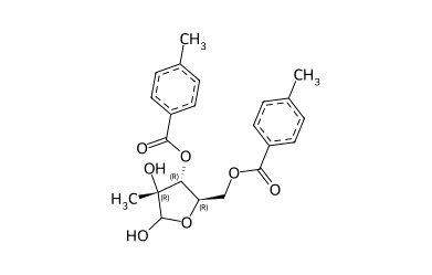 Cc1ccc(C(=O)OC[C@H]2OC(O)[C@](C)(O)[C@@H]2OC(=O)c2ccc(C)cc2)cc1